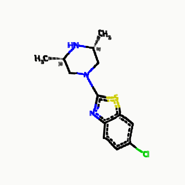 C[C@@H]1CN(c2nc3ccc(Cl)cc3s2)C[C@H](C)N1